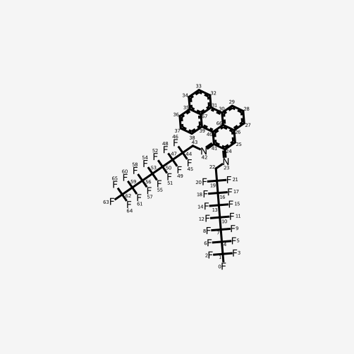 FC(F)(F)C(F)(F)C(F)(F)C(F)(F)C(F)(F)C(F)(F)C(F)(F)CN=c1cc2cccc3c4cccc5cccc(c(c1=NCC(F)(F)C(F)(F)C(F)(F)C(F)(F)C(F)(F)C(F)(F)C(F)(F)F)c23)c54